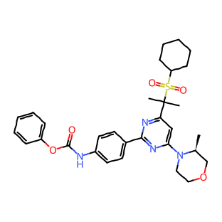 C[C@H]1COCCN1c1cc(C(C)(C)S(=O)(=O)C2CCCCC2)nc(-c2ccc(NC(=O)Oc3ccccc3)cc2)n1